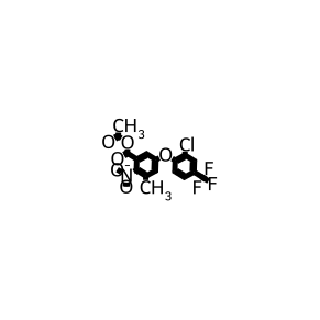 CC(=O)OC(=O)c1cc(Oc2ccc(C(F)(F)F)cc2Cl)cc(C)c1[N+](=O)[O-]